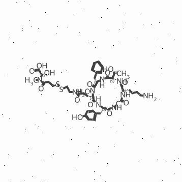 C[C@@H](O)[C@@H]1NC(=O)[C@H](CCCCN)NC(=O)CNC(=O)[C@H](Cc2ccc(O)cc2)NC(=O)[C@H](CCC(=O)NCCSSCCC(=O)N(C)[C@@H](O)C(=O)O)N(C)C(=O)[C@H](Cc2ccccc2)NC1=O